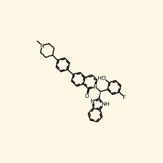 CN1CCC(c2ccc(-c3ccc4c(=O)n([C@H](c5nc6ccccc6[nH]5)c5cc(F)ccc5O)ccc4c3)cc2)CC1